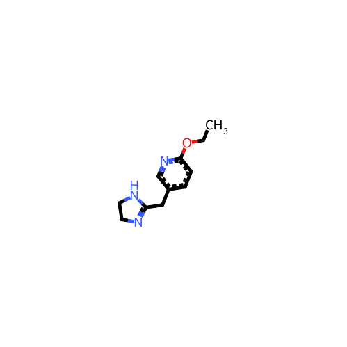 CCOc1ccc(CC2=NCCN2)cn1